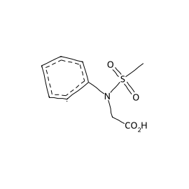 CS(=O)(=O)N(CC(=O)O)c1[c]cccc1